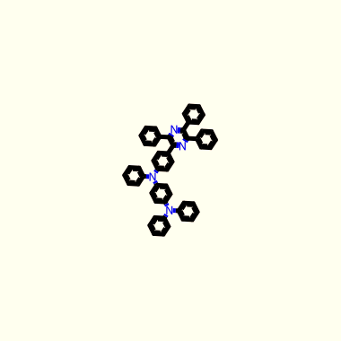 c1ccc(-c2nc(-c3ccccc3)c(-c3ccc(N(c4ccccc4)c4ccc(N(c5ccccc5)c5ccccc5)cc4)cc3)nc2-c2ccccc2)cc1